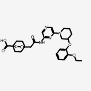 CCOc1ccccc1OC1CCCN(c2cncc(NC(=O)CC34CCC(C(=O)O)(CC3)CC4)n2)C1